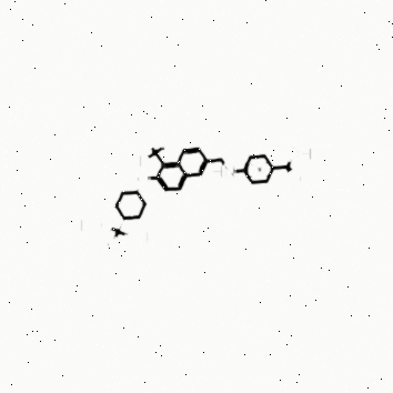 CC(C)(C)[C@H]1CC[C@H](Oc2ccc3cc(CNC45CCC(C(=O)O)(CC4)CC5)ccc3c2C(F)(F)F)CC1